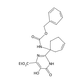 CCOC(=O)c1nc(C2(NC(=O)OCc3ccccc3)CC=CCC2)[nH]c(=O)c1O